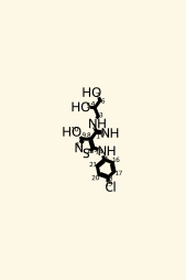 N=C(NCC(O)CO)c1c(O)nsc1Nc1ccc(Cl)cc1